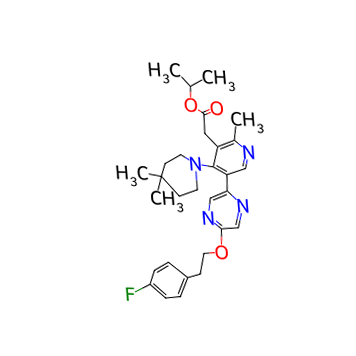 Cc1ncc(-c2cnc(OCCc3ccc(F)cc3)cn2)c(N2CCC(C)(C)CC2)c1CC(=O)OC(C)C